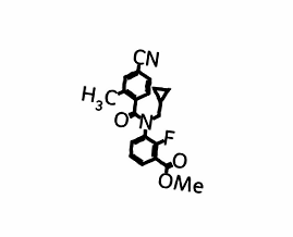 COC(=O)c1cccc(N(CC2CC2)C(=O)c2ccc(C#N)cc2C)c1F